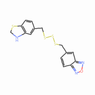 c1cc2c(cc1CSSSCc1ccc3nonc3c1)NCS2